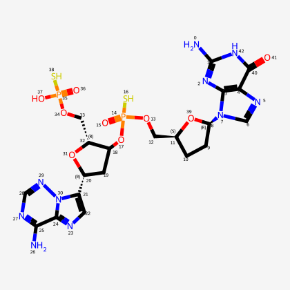 Nc1nc2c(ncn2[C@H]2CC[C@@H](COP(=O)(S)OC3C[C@H](c4cnc5c(N)ncnn45)O[C@@H]3COP(=O)(O)S)O2)c(=O)[nH]1